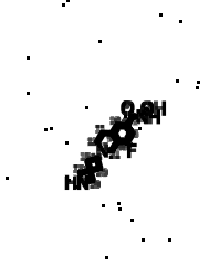 O=C(NO)c1cc(F)c2c(c1)CCN(C1CC3(CNC3)C1)C2